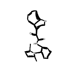 Cc1ccc(C)n1-c1ccccc1NC(=O)C(=O)c1c[nH]c2ccccc12